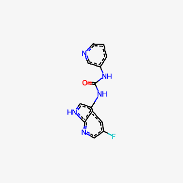 O=C(Nc1cccnc1)Nc1c[nH]c2ncc(F)cc12